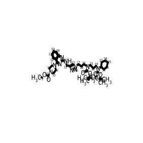 CCOC(=O)N1CCN(c2nc(NCc3cn(CCCN(CCCN(C(=O)OC(C)(C)C)C4CCCCC4)C(=O)OC(C)(C)C)nn3)nc3ccccc23)CC1